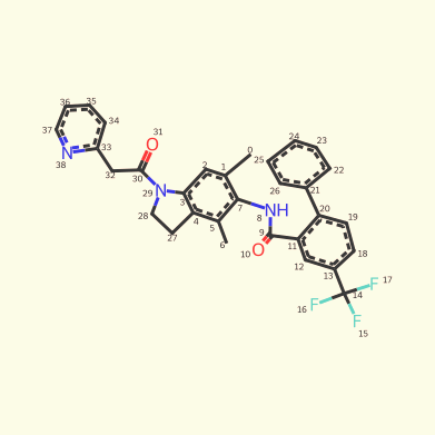 Cc1cc2c(c(C)c1NC(=O)c1cc(C(F)(F)F)ccc1-c1ccccc1)CCN2C(=O)Cc1ccccn1